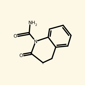 NC(=O)N1C(=O)[C]Cc2ccccc21